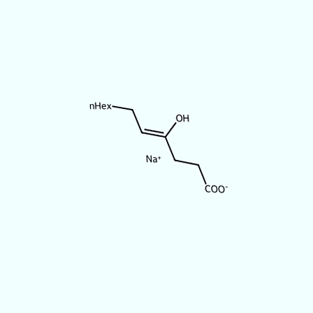 CCCCCCCC=C(O)CCC(=O)[O-].[Na+]